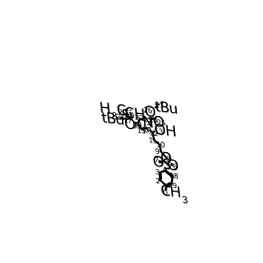 Cc1ccc(S(=O)(=O)OCCCC(O)[C@@H]2C[C@@H](O[Si](C)(C)C(C)(C)C)CN2C(=O)OC(C)(C)C)cc1